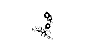 CCN(CC)C(=O)C(C)(Oc1ccc(Oc2cnc3ccccc3n2)cc1)C(=O)OC